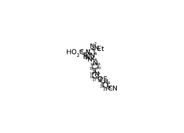 CCn1cncc1Cn1c(CN2CCC(c3cccc(OCc4ccc(C#N)cc4F)n3)CC2)nn2nc(C(=O)O)nc12